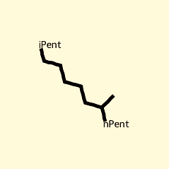 CCCCCC(C)CCCCCC(C)CCC